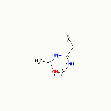 CCC(NC)NC(C)O